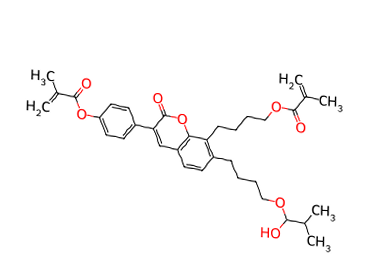 C=C(C)C(=O)OCCCCc1c(CCCCOC(O)C(C)C)ccc2cc(-c3ccc(OC(=O)C(=C)C)cc3)c(=O)oc12